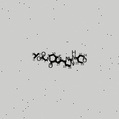 CC(C)(C)OC(=O)CN1CCc2sc(-c3ccnc(NC4CCOCC4)n3)cc2C1=O